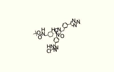 CN(C)c1ncc(-c2cccc(C[C@H](N)C(=O)N(c3ccc(-c4nnc(Cl)[nH]4)cc3)C(=O)[C@H]3CC[C@H](CNC(=O)OC(C)(C)C)CC3)c2)cn1